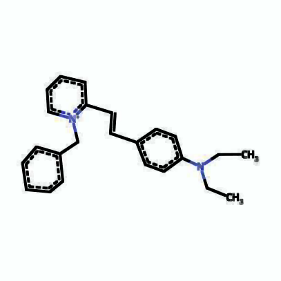 CCN(CC)c1ccc(/C=C/c2cccc[n+]2Cc2ccccc2)cc1